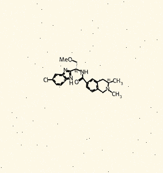 COC[C@H](NC(=O)c1ccc2c(c1)C[C@@H](C)N(C)C2)c1nc2cc(Cl)ccc2[nH]1